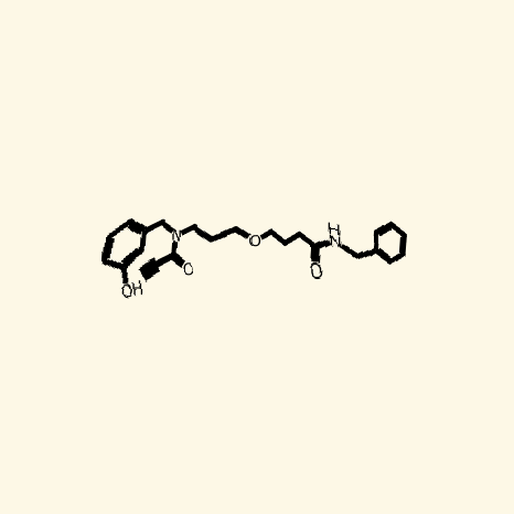 C#CC(=O)N(CCCOCCCC(=O)NCc1ccccc1)Cc1cccc(O)c1